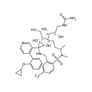 CC(CC[C@@](O)([C@H](O)CO)[C@H](O)[C@@H](O)CNC(N)=O)N(C)S(=O)(=O)c1ccc(C(F)(F)F)cc1CNC1(c2cnccc2-c2ccccc2OC2CC2)CC1